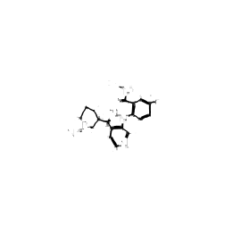 CC(C)N(C)C(=O)c1cc(F)ccc1-n1nc(C2CCCB(C#N)C2)c2ccncc21